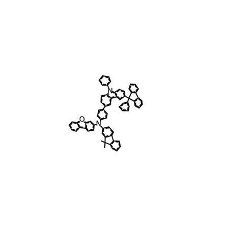 CC1(C)c2ccccc2-c2ccc(N(c3ccc(-c4ccc5c(c4)c4cc(C6(c7ccccc7)c7ccccc7-c7ccccc76)ccc4n5-c4ccccc4)cc3)c3ccc4c(c3)oc3ccccc34)cc21